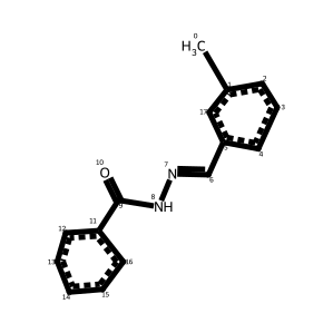 Cc1cccc(C=NNC(=O)c2ccccc2)c1